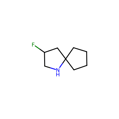 FC1CNC2(CCCC2)C1